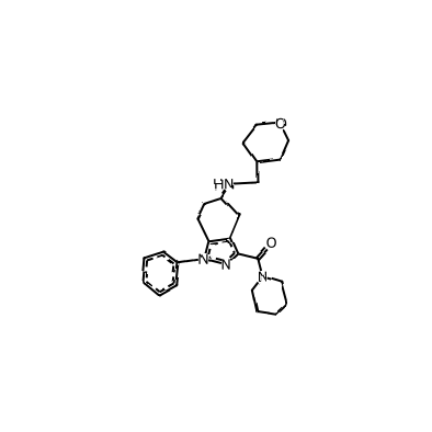 O=C(c1nn(-c2ccccc2)c2c1CC(NCC1CCOCC1)CC2)N1CCCCC1